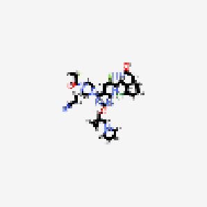 C=C(F)C(=O)N1CCN(c2nc(OCC3(CN4CCCC4)CC3)nc3nc(-c4[nH]c(=O)cc5cccc(Cl)c45)c(F)cc23)C[C@@H]1CCC#N